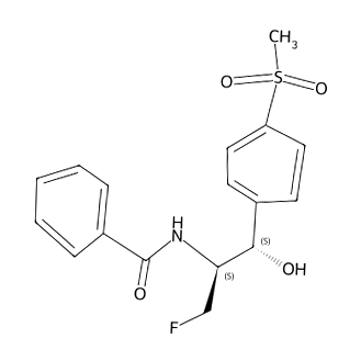 CS(=O)(=O)c1ccc([C@H](O)[C@@H](CF)NC(=O)c2ccccc2)cc1